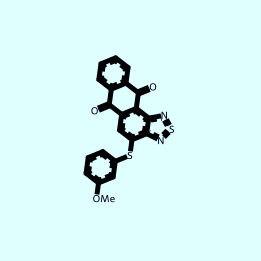 COc1cccc(Sc2cc3c(c4nsnc24)C(=O)c2ccccc2C3=O)c1